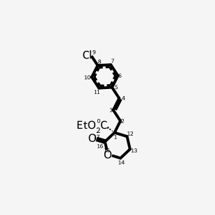 CCOC(=O)[C@]1(C/C=C/c2ccc(Cl)cc2)CCCOC1=O